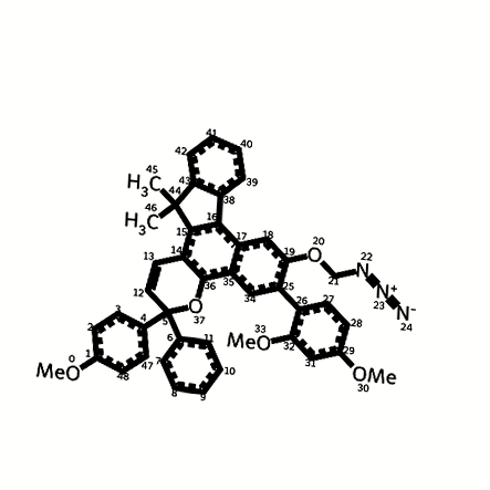 COc1ccc(C2(c3ccccc3)C=Cc3c4c(c5cc(OCN=[N+]=[N-])c(-c6ccc(OC)cc6OC)cc5c3O2)-c2ccccc2C4(C)C)cc1